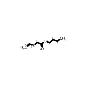 C=CSCC(=O)OCCCC